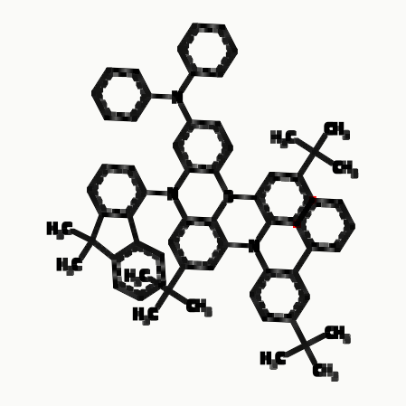 CC(C)(C)c1ccc2c(c1)B1c3ccc(N(c4ccccc4)c4ccccc4)cc3N(c3cccc4c3-c3ccccc3C4(C)C)c3cc(C(C)(C)C)cc(c31)N2c1ccc(C(C)(C)C)cc1-c1ccccc1